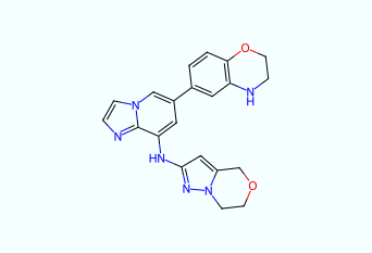 c1cn2cc(-c3ccc4c(c3)NCCO4)cc(Nc3cc4n(n3)CCOC4)c2n1